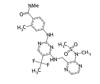 CNC(=O)c1ccc(Nc2ncc(C(C)(F)F)c(NCc3nccnc3N(C)S(C)(=O)=O)n2)cc1C